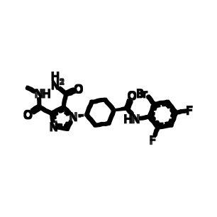 CNC(=O)c1ncn([C@H]2CC[C@H](C(=O)Nc3c(F)cc(F)cc3Br)CC2)c1C(N)=O